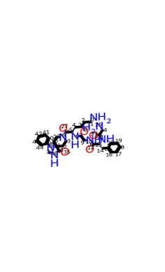 NCCCC[C@@H](NC(=O)CNC(=O)[C@@H](Cc1ccccc1)NC(=O)CN)C(=O)N1CCC2(CC1)C(=O)NCN2c1ccccc1